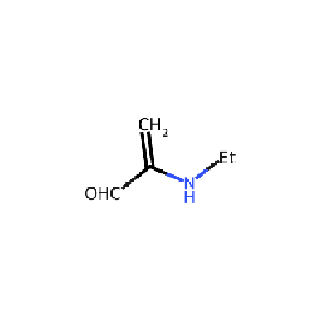 [CH2]CNC(=C)C=O